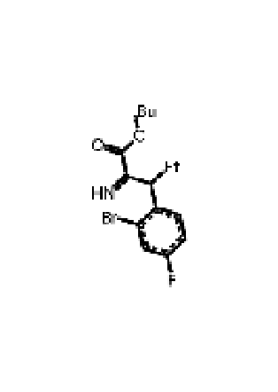 CCC(C(=N)C(=O)OC(C)(C)C)c1ccc(F)cc1Br